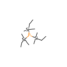 CC[Si](C)(C)P([Si](C)(C)CC)[Si](C)(C)CC